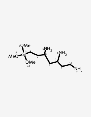 CO[Si](CCC(N)CC(N)CCN)(OC)OC